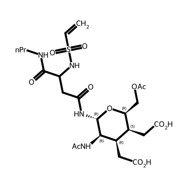 C=CS(=O)(=O)NC(CC(=O)N[C@@H]1O[C@@H](COC(C)=O)[C@@H](CC(=O)O)[C@@H](CC(=O)O)[C@H]1NC(C)=O)C(=O)NCCC